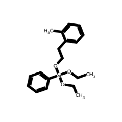 CCO[Si](OCC)(OCCc1ccccc1C)c1ccccc1